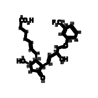 O=C(O)CCCC=CC[C@H]1[C@@H](O)CC(=O)[C@@H]1C=CC(O)COc1cccc(C(F)(F)F)c1